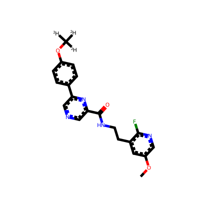 [2H]C([2H])([2H])Oc1ccc(-c2cncc(C(=O)NCCc3cc(OC)cnc3F)n2)cc1